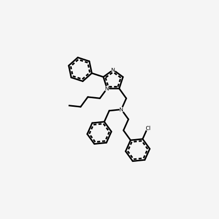 CCCCn1c(CN(CCc2ccccc2Cl)Cc2ccccc2)cnc1-c1ccccc1